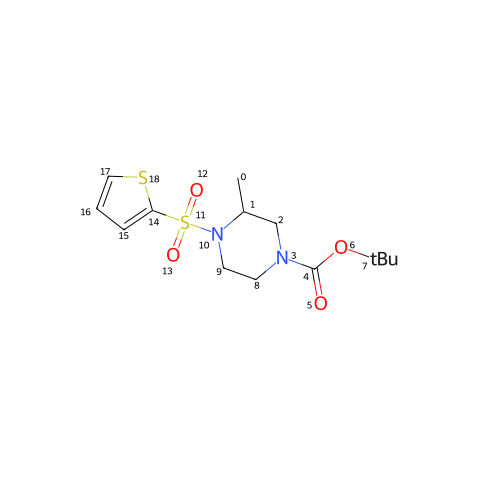 CC1CN(C(=O)OC(C)(C)C)CCN1S(=O)(=O)c1cccs1